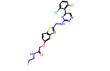 O=C(COc1ccc2sc(CNc3nncc(-c4c(Cl)cccc4Cl)n3)nc2c1)NCCI